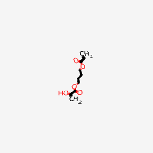 C=CC(=O)OCCCCOC(=O)C(=C)O